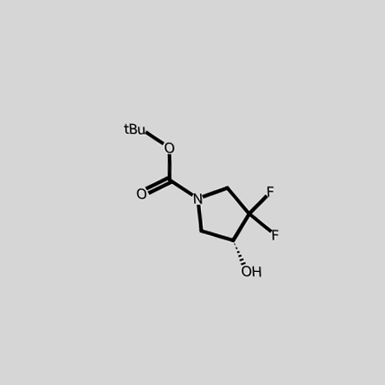 CC(C)(C)OC(=O)N1C[C@@H](O)C(F)(F)C1